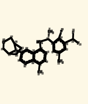 Cc1nnc(N[C@H](C)c2cc(N)cc(C(F)F)c2F)c2cc(N3C4CCC3COC4)cnc12